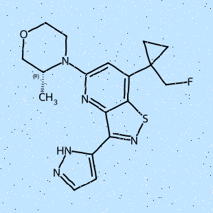 C[C@@H]1COCCN1c1cc(C2(CF)CC2)c2snc(-c3ccn[nH]3)c2n1